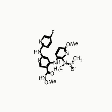 CONC(=O)c1cnc(Nc2ccc(F)cn2)cc1Nc1ccc(OC)nc1N(C)[S+](C)[O-]